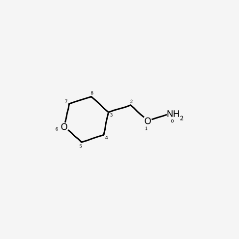 NOCC1CCOCC1